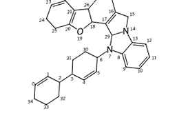 C1=CC(C2C=CC(N3c4ccccc4N4CC5=C(C6OC7=C(C=CCC7)C6CC5)C43)CC2)CCC1